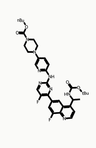 CCCCOC(=O)N1CCN(c2ccc(Nc3ncc(F)c(-c4cc(F)c5nccc(C(C)NC(=O)OC(C)(C)C)c5c4)n3)nc2)CC1